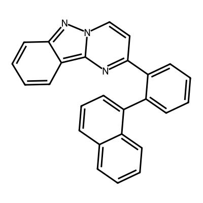 c1ccc(-c2cccc3ccccc23)c(-c2ccn3nc4ccccc4c3n2)c1